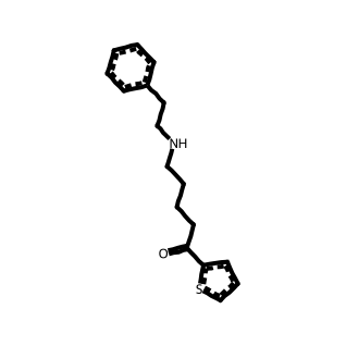 O=C(CCCCNCCc1ccccc1)c1cccs1